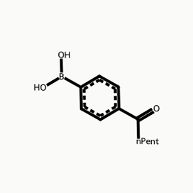 CCCCCC(=O)c1ccc(B(O)O)cc1